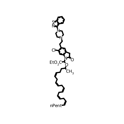 CCCCC/C=C\C/C=C\C/C=C\C/C=C\C/C=C\CCC(C)OC(C(=O)OCC)N1C(=O)Cc2cc(CCN3CCN(c4nsc5ccccc45)CC3)c(Cl)cc21